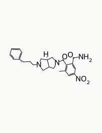 Cc1cc([N+](=O)[O-])cc(C(N)=O)c1C(=O)N1CC2CN(CC[CH]c3ccccc3)C[C@H]2C1